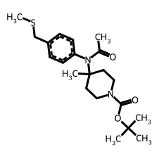 CSCc1ccc(N(C(C)=O)C2(C)CCN(C(=O)OC(C)(C)C)CC2)cc1